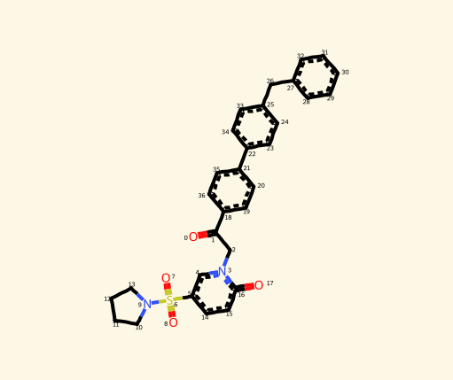 O=C(Cn1cc(S(=O)(=O)N2CCCC2)ccc1=O)c1ccc(-c2ccc(Cc3ccccc3)cc2)cc1